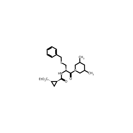 CCOC(=O)[C@H]1C[C@@H]1C(=O)N[C@@H](CSCc1ccccc1)C(=O)N1CC(C)CC(C)C1